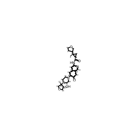 C[C@@]1(C2CCOC2)C[C@H]1C(=O)Nc1cc2cc(N3CCN([C@@]4(C)COC[C@H]4O)CC3)c(Cl)cc2cn1